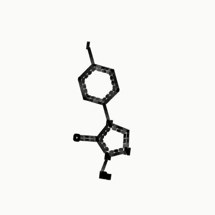 CCC(C)n1ncn(-c2ccc(I)cc2)c1=O